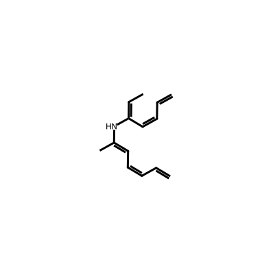 C=C/C=C\C=C(/C)NC(/C=C\C=C)=C/C